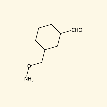 NOCC1CCCC(C=O)C1